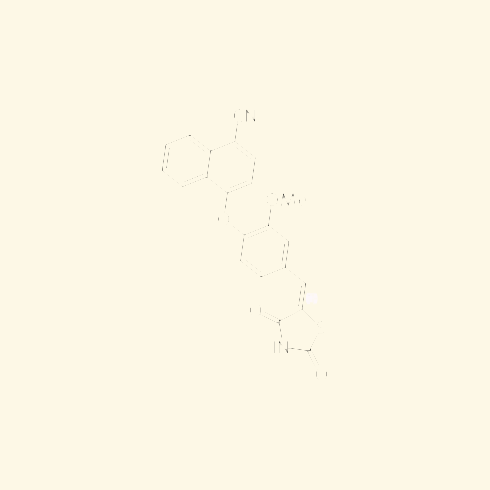 COc1cc(/C=C2/SC(=O)NC2=O)ccc1Oc1ccc(C#N)c2ccccc12